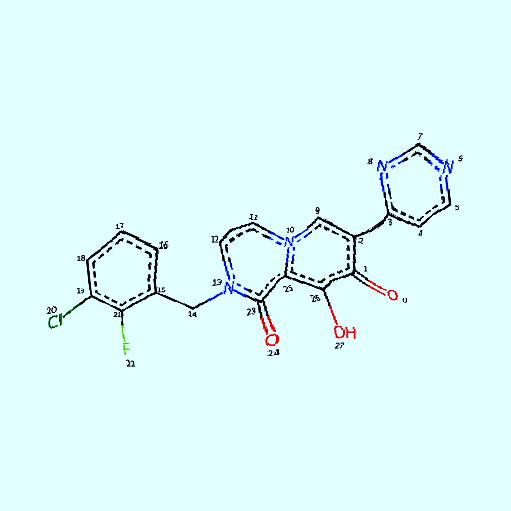 O=c1c(-c2ccncn2)cn2ccn(Cc3cccc(Cl)c3F)c(=O)c2c1O